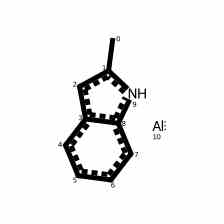 Cc1cc2ccccc2[nH]1.[Al]